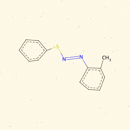 Cc1ccccc1N=NSc1ccccc1